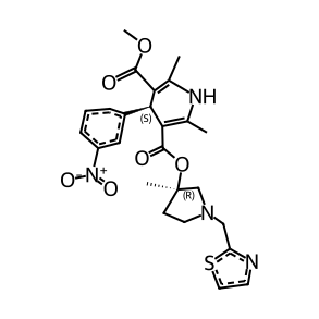 COC(=O)C1=C(C)NC(C)=C(C(=O)O[C@]2(C)CCN(Cc3nccs3)C2)[C@H]1c1cccc([N+](=O)[O-])c1